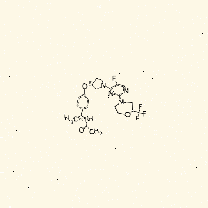 CC(=O)N[C@@H](C)c1ccc(O[C@@H]2CCN(c3nc(N4CCOC(C(F)(F)F)C4)ncc3F)C2)cc1